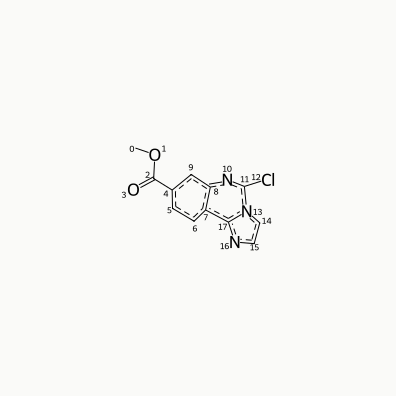 COC(=O)c1ccc2c(c1)nc(Cl)n1ccnc21